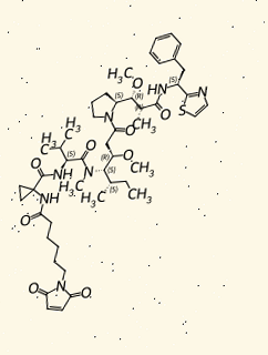 CC[C@H](C)[C@@H]([C@@H](CC(=O)N1CCC[C@H]1[C@H](OC)[C@@H](C)C(=O)N[C@@H](Cc1ccccc1)c1nccs1)OC)N(C)C(=O)[C@@H](NC(=O)C1(NC(=O)CCCCCN2C(=O)C=CC2=O)CC1)C(C)C